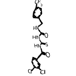 O=C(NCc1ccc(C(F)(F)F)cc1)NC(=S)NC(=O)c1ccc(Cl)c(Cl)c1